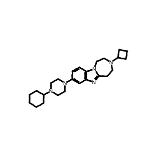 c1cc2c(cc1N1CCN(C3CCCCC3)CC1)nc1n2CCN(C2CCC2)CC1